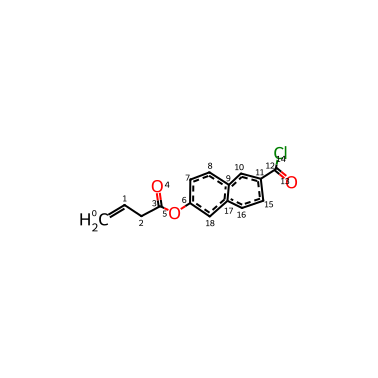 C=CCC(=O)Oc1ccc2cc(C(=O)Cl)ccc2c1